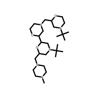 CN1CCN(CC2CN(C(C)(C)C)CC(C3CN(CC4CN(C(C)(C)C)CCO4)CCO3)O2)CC1